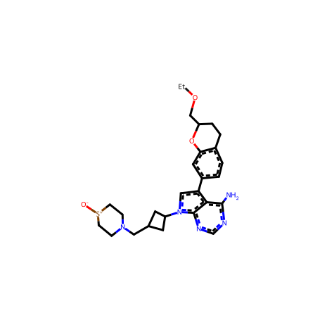 CCOCC1CCc2ccc(-c3cn(C4CC(CN5CC[S+]([O-])CC5)C4)c4ncnc(N)c34)cc2O1